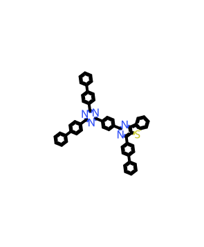 c1ccc(-c2ccc(-c3nc(-c4ccc(-c5ccccc5)cc4)nc(-c4ccc(-c5nc(-c6ccc(-c7ccccc7)cc6)c6sc7ccccc7c6n5)cc4)n3)cc2)cc1